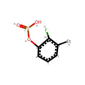 CCc1cccc(OS(=O)O)c1F